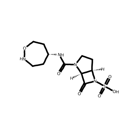 O=C(N[C@@H]1CCNOCC1)N1CC[C@@H]2[C@H]1C(=O)N2S(=O)(=O)O